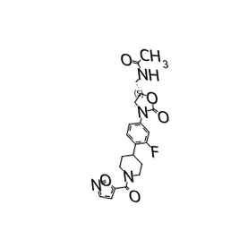 CC(=O)NC[C@H]1CN(c2ccc(C3CCN(C(=O)c4ccno4)CC3)c(F)c2)C(=O)O1